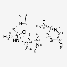 CC(C)(CN1CCC1)Nc1ccnc(-c2c[nH]c3ncc(Cl)cc23)n1